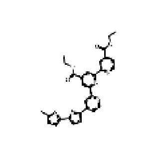 CCOC(=O)c1ccnc(-c2cc(C(=O)OCC)cc(-c3cc(-c4ccc(-c5ccc(C)s5)s4)ccn3)n2)c1